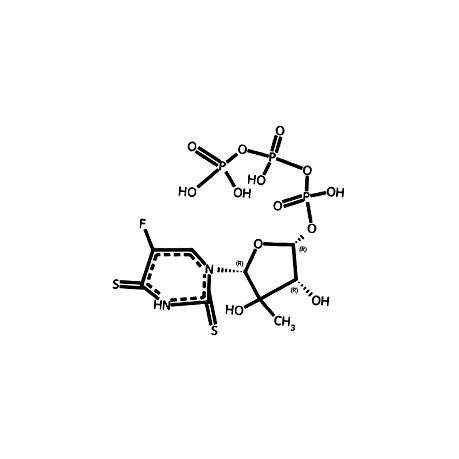 CC1(O)[C@@H](O)[C@@H](OP(=O)(O)OP(=O)(O)OP(=O)(O)O)O[C@H]1n1cc(F)c(=S)[nH]c1=S